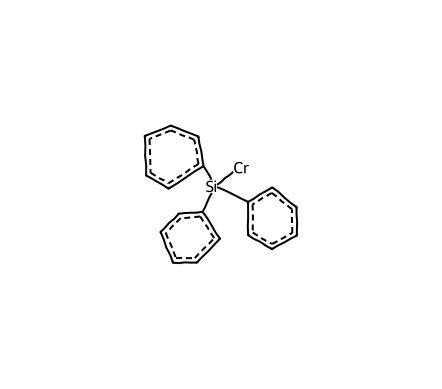 [Cr][Si](c1ccccc1)(c1ccccc1)c1ccccc1